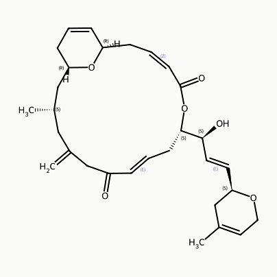 C=C1CC(=O)/C=C/C[C@@H]([C@@H](O)/C=C/[C@@H]2CC(C)=CCO2)OC(=O)/C=C\C[C@@H]2C=CC[C@@H](C[C@@H](C)C1)O2